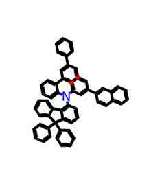 c1ccc(-c2cccc(-c3ccccc3N(c3cccc(-c4ccc5ccccc5c4)c3)c3cccc4c3-c3ccccc3C4(c3ccccc3)c3ccccc3)c2)cc1